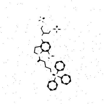 O=C(CCCN=P(c1ccccc1)(c1ccccc1)c1ccccc1)N1CCc2c(OC(COP(=O)(O)O)COP(=O)(O)O)ccc([N+](=O)[O-])c21